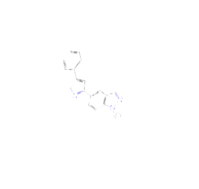 Cc1ccccc1C1=CC(c2ccc3c(cnn3C(C)C)c2)=NC1